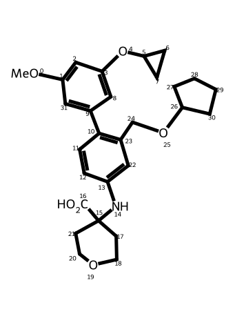 COc1cc(OC2CC2)cc(-c2ccc(NC3(C(=O)O)CCOCC3)cc2COC2CCCC2)c1